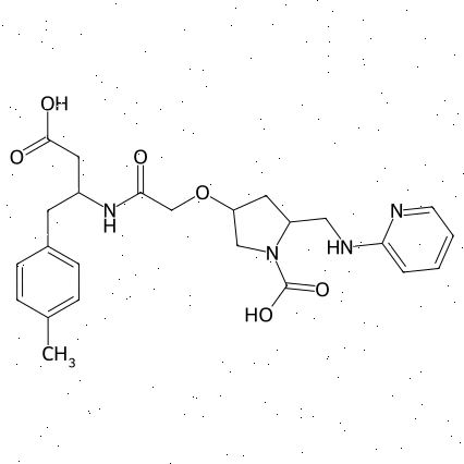 Cc1ccc(CC(CC(=O)O)NC(=O)COC2CC(CNc3ccccn3)N(C(=O)O)C2)cc1